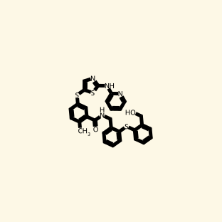 Cc1ccc(Sc2cnc(Nc3ccccn3)s2)cc1C(=O)NCc1ccccc1Sc1ccccc1CO